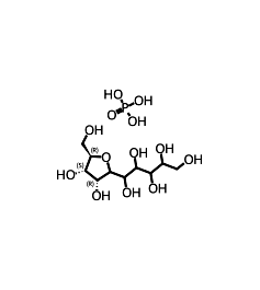 O=P(O)(O)O.OCC(O)C(O)C(O)C(O)C1O[C@H](CO)[C@@H](O)[C@H]1O